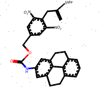 C=C(Cc1c([N+](=O)[O-])cc(COC(=O)Nc2cc3c4c(c2)CCc2cccc(c2-4)CC3)cc1[N+](=O)[O-])SC